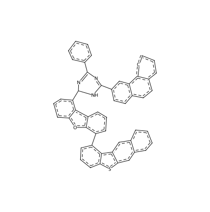 c1ccc(C2=NC(c3cccc4oc5c(-c6cccc7sc8cc9ccccc9cc8c67)cccc5c34)NC(c3ccc4ccc5ccccc5c4c3)=N2)cc1